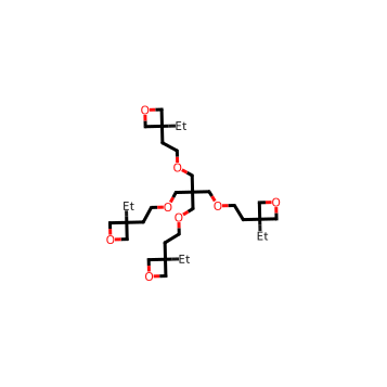 CCC1(CCOCC(COCCC2(CC)COC2)(COCCC2(CC)COC2)COCCC2(CC)COC2)COC1